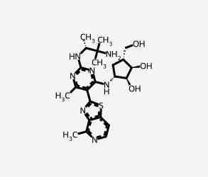 Cc1nc(N[C@H](C)C(C)(C)N)nc(N[C@@H]2C[C@H](CO)[C@@H](O)[C@H]2O)c1-c1nc2c(C)nccc2s1